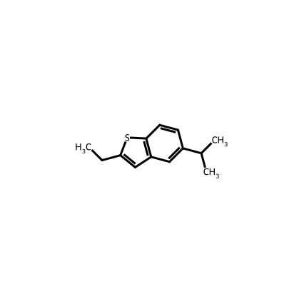 CCc1cc2cc(C(C)C)ccc2s1